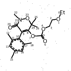 CCOCCOC(=O)OC1=C(c2c(C)cc(C)cc2C)C(=O)N(C)OC1(C)C